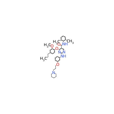 CCCc1ccc(Oc2nc(Nc3cccc(OCCCN4CCCCC4)c3)ncc2C(=O)Nc2c(C)cccc2C)c(OC)c1